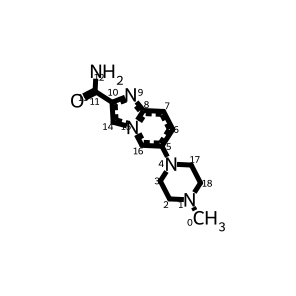 CN1CCN(c2ccc3nc(C(N)=O)cn3c2)CC1